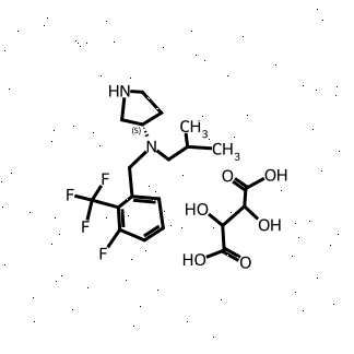 CC(C)CN(Cc1cccc(F)c1C(F)(F)F)[C@H]1CCNC1.O=C(O)C(O)C(O)C(=O)O